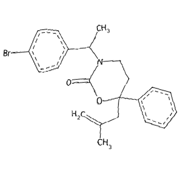 C=C(C)CC1(c2ccccc2)CCN(C(C)c2ccc(Br)cc2)C(=O)O1